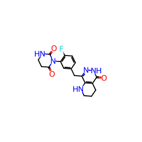 O=C1CCNC(=O)N1c1cc(Cc2n[nH]c(=O)c3c2NCCC3)ccc1F